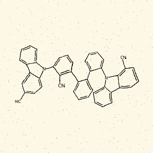 N#Cc1ccc2c(c1)c1ccccc1n2-c1cccc(-c2ccccc2-c2ccccc2-n2c3ccccc3c3cccc(C#N)c32)c1C#N